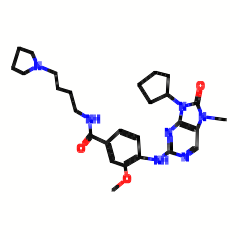 COc1cc(C(=O)NCCCCN2CCCC2)ccc1Nc1ncc2c(n1)n(C1CCCC1)c(=O)n2C